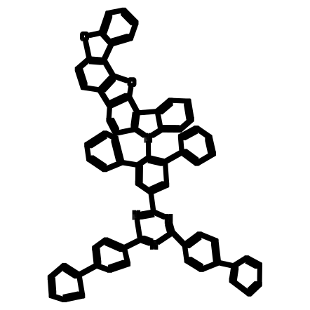 c1ccc(-c2ccc(-c3nc(-c4ccc(-c5ccccc5)cc4)nc(-c4cc(-c5ccccc5)c(-n5c6ccccc6c6c7oc8c(ccc9oc%10ccccc%10c98)c7ccc65)c(-c5ccccc5)c4)n3)cc2)cc1